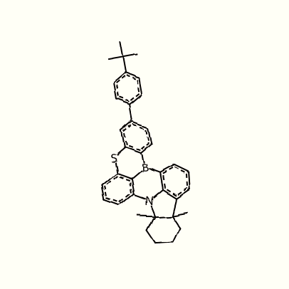 CC(C)(C)c1ccc(-c2ccc3c(c2)Sc2cccc4c2B3c2cccc3c2N4C2(C)CCCCC32C)cc1